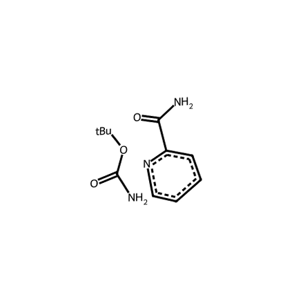 CC(C)(C)OC(N)=O.NC(=O)c1ccccn1